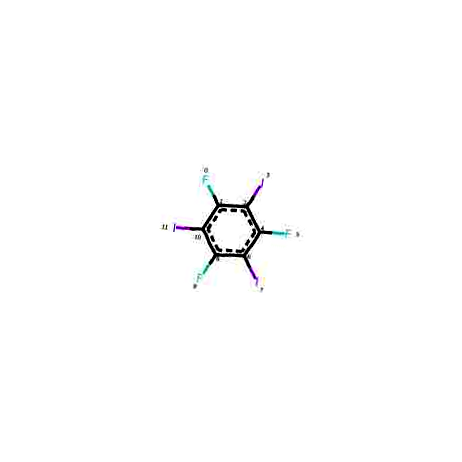 Fc1c(I)c(F)c(I)c(F)c1I